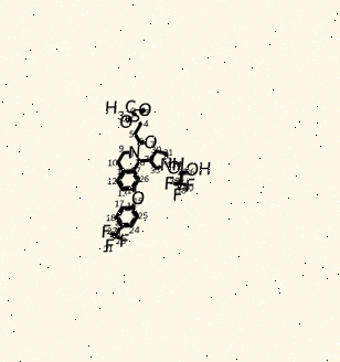 CS(=O)(=O)CCC(=O)N1CCc2ccc(Oc3ccc(C(F)(F)F)cc3)cc2C1C1CCNC1.O=C(O)C(F)(F)F